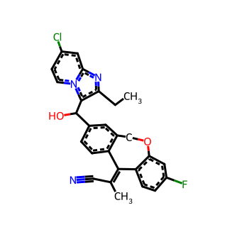 CCc1nc2cc(Cl)ccn2c1C(O)c1ccc2c(c1)COc1cc(F)ccc1/C2=C(\C)C#N